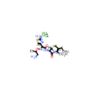 CCC(CN)ON=C(C(=O)N[C@@H]1C(=O)N2C(C(=O)O)=C(COC(C)=O)CS[C@H]12)c1csc(N)n1.Cl.Cl